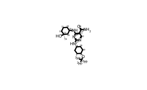 [2H]C([2H])([2H])O[C@H]1CC[C@H](Nc2ncc(C(N)=O)c(NC3CCC[C@](C)(O)C3)n2)CC1